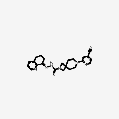 N#Cc1ccnc(N2CCC3(CC2)CN(C(=S)N/N=C2\CCCc4cccnc42)C3)c1